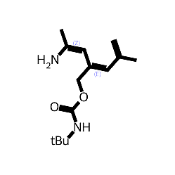 C=C(C)/C=C(\C=C(\C)N)COC(=O)NC(C)(C)C